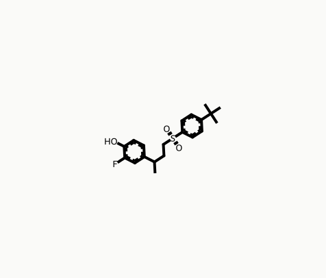 CC(CCS(=O)(=O)c1ccc(C(C)(C)C)cc1)c1ccc(O)c(F)c1